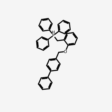 c1ccc(-c2ccc(COc3ccccc3C[PH](c3ccccc3)(c3ccccc3)c3ccccc3)cc2)cc1